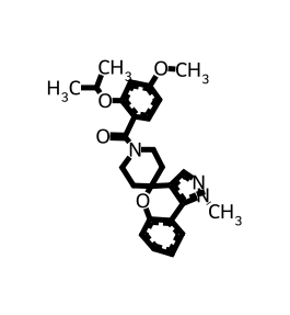 COc1ccc(C(=O)N2CCC3(CC2)Oc2ccccc2-c2c3cnn2C)c(OC(C)C)c1